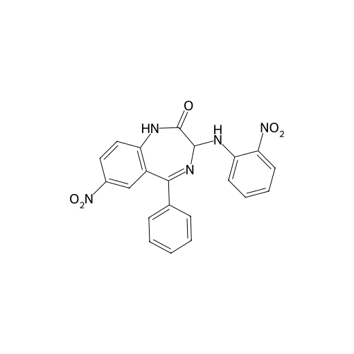 O=C1Nc2ccc([N+](=O)[O-])cc2C(c2ccccc2)=NC1Nc1ccccc1[N+](=O)[O-]